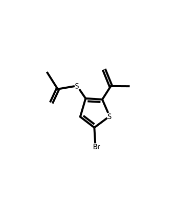 C=C(C)Sc1cc(Br)sc1C(=C)C